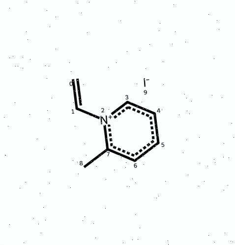 C=C[n+]1ccccc1C.[I-]